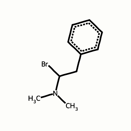 CN(C)C(Br)Cc1ccccc1